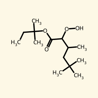 CCC(C)(C)OC(=O)C(OO)C(C)CC(C)(C)C